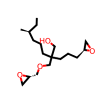 CC[C@H](C)CCCC(CO)(CCC[C@H]1CO1)COC[C@@H]1CO1